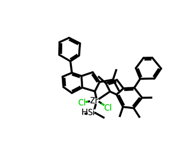 CC1=Cc2c(-c3ccccc3)c(C)c(C)c(C)c2[CH]1[Zr]([Cl])([Cl])([CH]1C(C(C)C)=Cc2c(-c3ccccc3)cccc21)[SiH](C)C